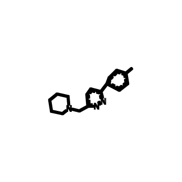 Cc1ccc(-c2ccc(CN3CCCCC3)nn2)cc1